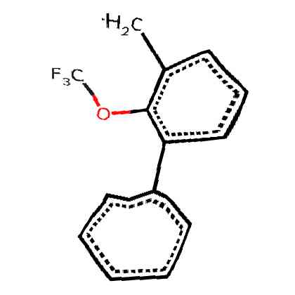 [CH2]c1cccc(-c2ccccc2)c1OC(F)(F)F